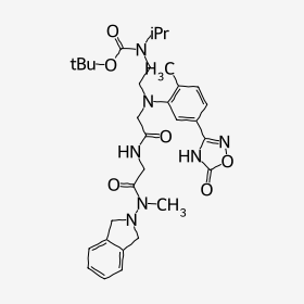 Cc1ccc(-c2noc(=O)[nH]2)cc1N(CCN(C(=O)OC(C)(C)C)C(C)C)CC(=O)NCC(=O)N(C)N1Cc2ccccc2C1